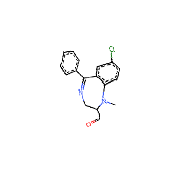 CN1c2ccc(Cl)cc2C(c2ccccc2)=NCC1C=O